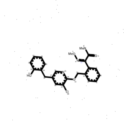 CNC(=O)/C(=N\OC)c1ccccc1COc1ncc(Cc2ccccc2O)cc1Cl